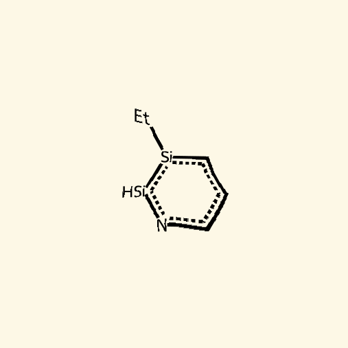 CC[si]1cccn[siH]1